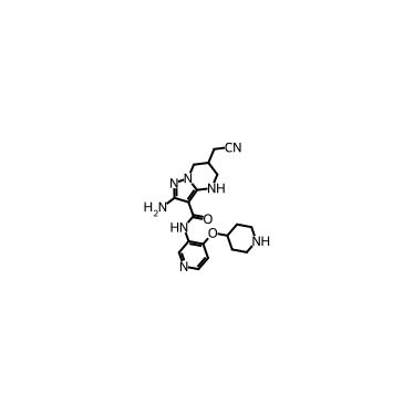 N#CCC1CNc2c(C(=O)Nc3cnccc3OC3CCNCC3)c(N)nn2C1